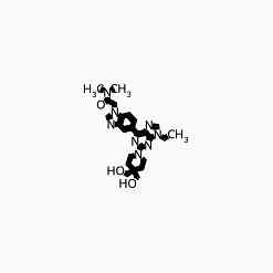 CCn1cnc2c(-c3ccc4c(c3)ncn4CC(=O)N(C)C)nc(N3CCC(CO)(CO)CC3)nc21